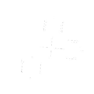 CC(C)(C)[Si](OC1CCC(=S)NC1)(c1ccccc1)c1ccccc1